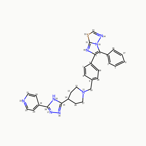 c1ccc(-c2c(-c3ccc(CN4CCC(c5nnc(-c6ccncc6)[nH]5)CC4)cc3)nc3scnn23)cc1